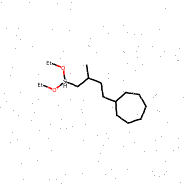 CCO[SiH](CC(C)CCC1CCCCCC1)OCC